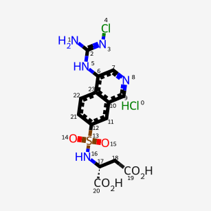 Cl.NC(=NCl)Nc1cncc2cc(S(=O)(=O)N[C@H](CC(=O)O)C(=O)O)ccc12